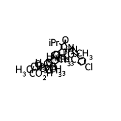 CC(C)C1=C2C3CC[C@@H]4[C@@]5(C)CC[C@H](OC(=O)CC(C)(C)C(=O)O)C(C)(C)[C@@H]5CC[C@@]4(C)[C@]3(C)CC[C@@]2(c2nnc(C(C)(C)c3ccc(Cl)cc3)o2)CC1=O